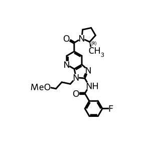 COCCCn1c(NC(=O)c2cccc(F)c2)nc2cc(C(=O)N3CCC[C@H]3C)cnc21